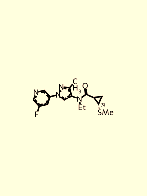 CCN(C(=O)C1C[C@@H]1SC)c1cn(-c2cncc(F)c2)nc1C